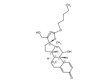 CCCCCOC(=O)O[C@]1(C(=O)CO)CC[C@H]2[C@@H]3CCC4=CC(=O)C=C[C@]4(C)[C@H]3C(O)C[C@@]21C